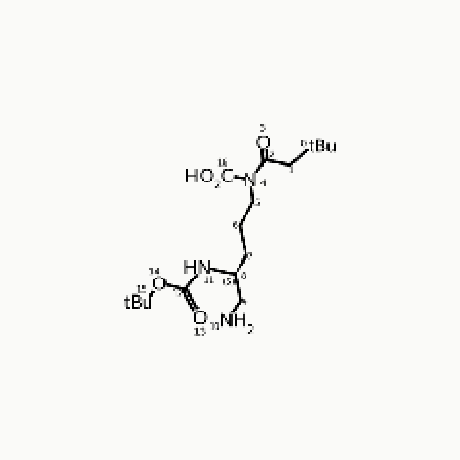 CC(C)(C)CC(=O)N(CCC[C@@H](CN)NC(=O)OC(C)(C)C)C(=O)O